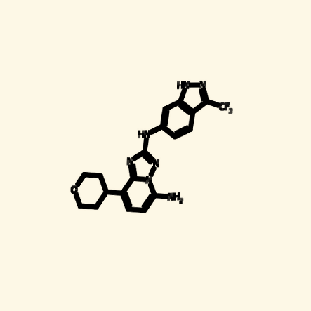 Nc1ccc(C2CCOCC2)c2nc(Nc3ccc4c(C(F)(F)F)n[nH]c4c3)nn12